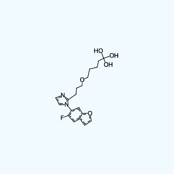 OC(O)(O)CCCCOCCCc1nccn1-c1cc2occc2cc1F